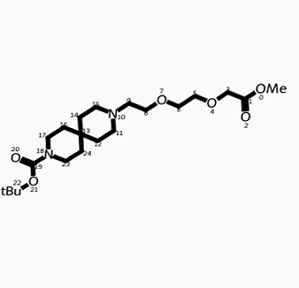 COC(=O)COCCOCCN1CCC2(CC1)CCN(C(=O)OC(C)(C)C)CC2